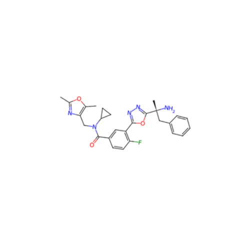 Cc1nc(CN(C(=O)c2ccc(F)c(-c3nnc([C@](C)(N)Cc4ccccc4)o3)c2)C2CC2)c(C)o1